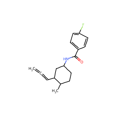 C=C=CC1CC(NC(=O)c2ccc(F)cc2)CCC1C